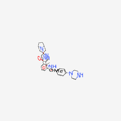 COc1cccc(C(=O)NC2CC3CCC(C2)N3c2ccc(C(=O)NCc3ccc(N4CCNCC4)cc3)cn2)c1C